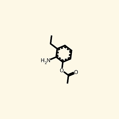 CCc1cccc(OC(C)=O)c1N